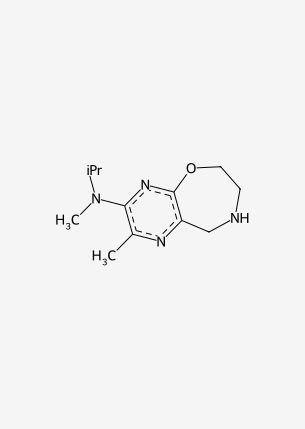 Cc1nc2c(nc1N(C)C(C)C)OCCNC2